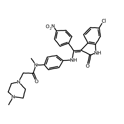 CN1CCN(CC(=O)N(C)c2ccc(N/C(=C3\C(=O)Nc4cc(Cl)ccc43)c3ccc([N+](=O)[O-])cc3)cc2)CC1